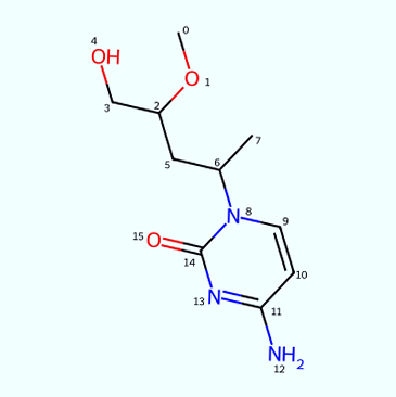 COC(CO)CC(C)n1ccc(N)nc1=O